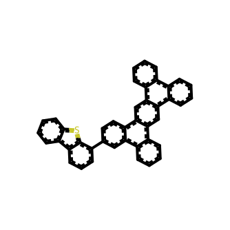 c1ccc2c(c1)sc1c(-c3ccc4c(c3)c3ccccc3c3cc5c6ccccc6c6ccccc6c5cc43)cccc12